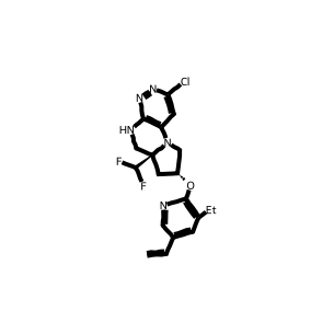 C=Cc1cnc(O[C@H]2CN3c4cc(Cl)nnc4NC[C@@]3(C(F)F)C2)c(CC)c1